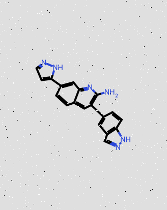 Nc1nc2cc(-c3ccn[nH]3)ccc2cc1-c1ccc2[nH]ncc2c1